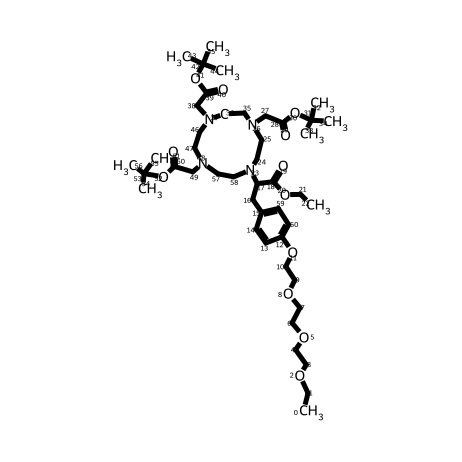 CCOCCOCCOCCOc1ccc(CC(C(=O)OCC)N2CCN(CC(=O)OC(C)(C)C)CCN(CC(=O)OC(C)(C)C)CCN(CC(=O)OC(C)(C)C)CC2)cc1